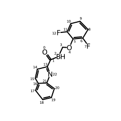 O=C(BCOc1c(F)cccc1F)c1ccc2ccccc2n1